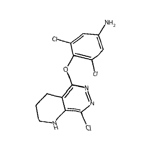 Nc1cc(Cl)c(Oc2nnc(Cl)c3c2CCCN3)c(Cl)c1